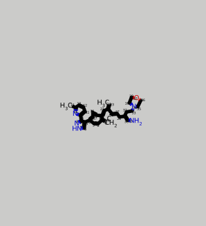 C=C1\C=C/C(c2c[nH]nc2-c2cccc(C)n2)=C/C=C/C1=C/C(=C\C)C(/C)=C/C/C(=C/N)CCN1CCOCC1